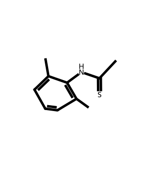 CC(=S)Nc1c(C)cccc1C